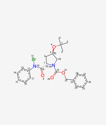 CC(C)(C)O[C@@H]1C[C@@H](C(=O)N(Br)c2ccccc2)N(C(=O)OCc2ccccc2)C1